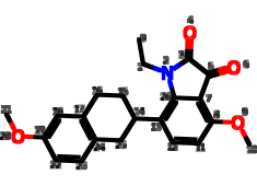 CCN1C(=O)C(=O)c2c(OC)ccc(C3CCc4cc(OC)ccc4C3)c21